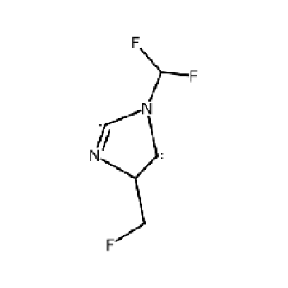 FCC1[C]N(C(F)F)[C]=N1